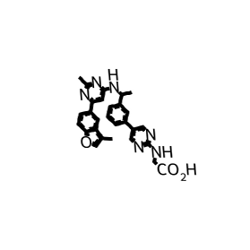 Cc1nc(NC(C)c2cccc(-c3cnc(NCC(=O)O)nc3)c2)cc(-c2ccc3occ(C)c3c2)n1